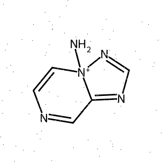 N[N+]12C=CN=CC1=NC=N2